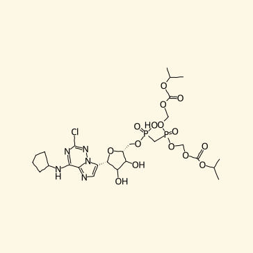 CC(C)OC(=O)OCOP(=O)(CP(=O)(O)OC[C@H]1O[C@@H](c2cnc3c(NC4CCCC4)nc(Cl)nn23)C(O)C1O)OCOC(=O)OC(C)C